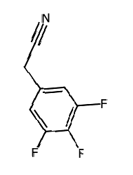 N#CCc1cc(F)c(F)c(F)c1